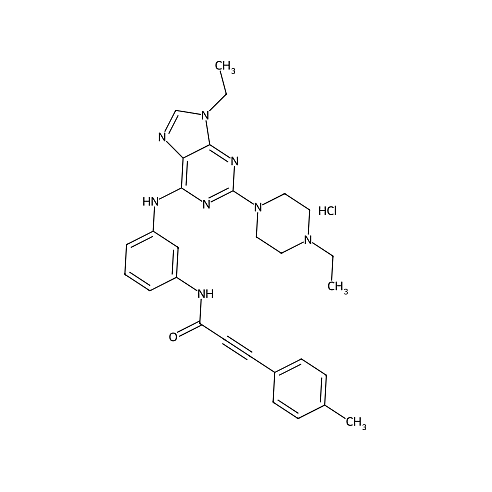 CCN1CCN(c2nc(Nc3cccc(NC(=O)C#Cc4ccc(C)cc4)c3)c3ncn(CC)c3n2)CC1.Cl